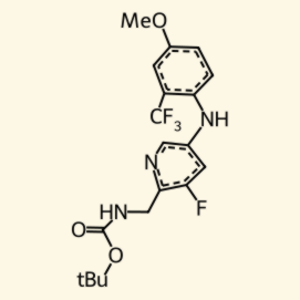 COc1ccc(Nc2cnc(CNC(=O)OC(C)(C)C)c(F)c2)c(C(F)(F)F)c1